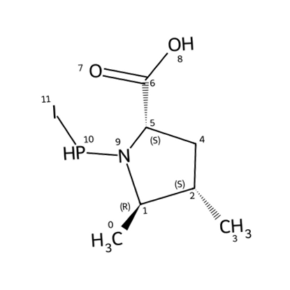 C[C@@H]1[C@@H](C)C[C@@H](C(=O)O)N1PI